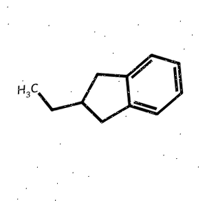 CCC1Cc2ccccc2C1